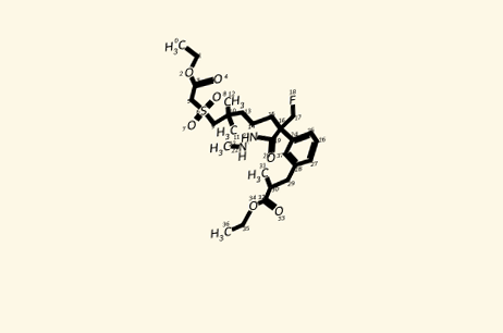 CCOC(=O)CS(=O)(=O)CC(C)(C)CCCC(CF)(C(=O)NNC)c1cccc(CC(C)C(=O)OCC)c1